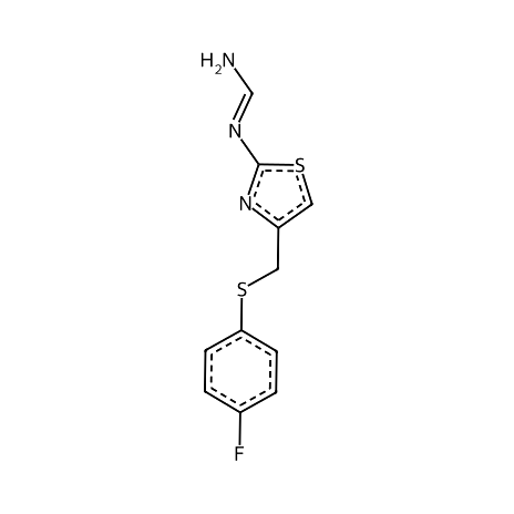 NC=Nc1nc(CSc2ccc(F)cc2)cs1